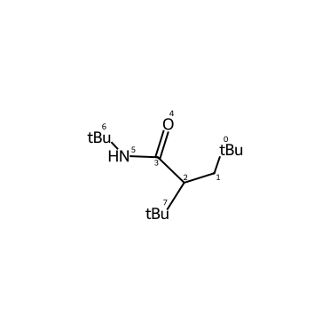 CC(C)(C)CC(C(=O)NC(C)(C)C)C(C)(C)C